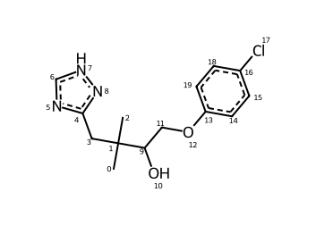 CC(C)(Cc1nc[nH]n1)C(O)COc1ccc(Cl)cc1